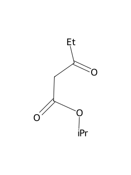 CCC(=O)CC(=O)OC(C)C